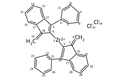 C=C1[C]([Zr+2][C]2=C(c3ccccc3)c3ccccc3C2=C)=C(c2ccccc2)c2ccccc21.[Cl-].[Cl-]